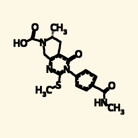 CNC(=O)c1ccc(-n2c(SC)nc3c(c2=O)C[C@@H](C)N(C(=O)O)C3)cc1